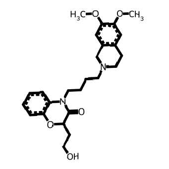 COc1cc2c(cc1OC)CN(CCCCN1C(=O)C(CCO)Oc3ccccc31)CC2